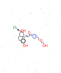 O=C(C=CCC12CCC(O)(C#CCl)CC1CCc1cc(O)ccc12)N1CCN(CCOCCO)CC1